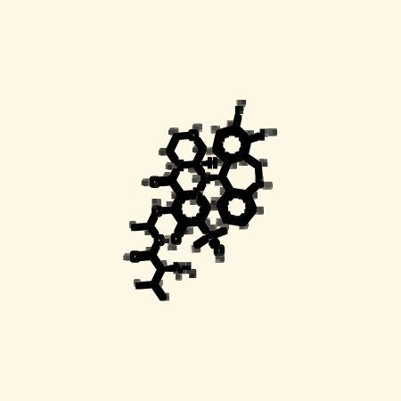 CC(OC(=O)[C@@H](N)C(C)C)Oc1c2n(cc(P(C)(C)=O)c1=O)N([C@@H]1c3ccccc3SCc3c1ccc(F)c3F)[C@@H]1COCCN1C2=O